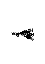 CC(=O)C(C)C(=O)O.CC(=O)C(C)C(=O)O.O=C(O)CCCC(=O)O.[AlH3]